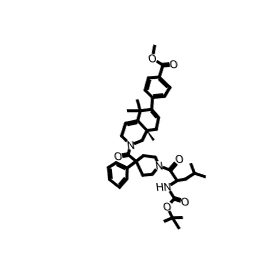 COC(=O)c1ccc(C2=CC[C@]3(C)CN(C(=O)C4(c5ccccc5)CCN(C(=O)C(CC(C)C)NC(=O)OC(C)(C)C)CC4)CC=C3C2(C)C)cc1